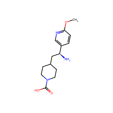 COc1ccc([C@@H](N)CC2CCN(C(=O)O)CC2)cn1